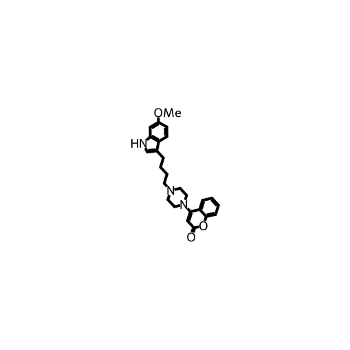 COc1ccc2c(CCCCN3CCN(c4cc(=O)oc5ccccc45)CC3)c[nH]c2c1